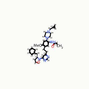 C=CC(=O)Nc1cc(CCc2cc(N3OCC[C@H]3Cc3ccccc3)ncn2)c(OC)cc1N1CCN(CC2CC2)CC1